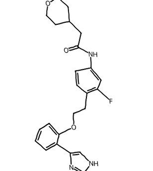 O=C(CC1CCOCC1)Nc1ccc(CCOc2ccccc2-c2c[nH]cn2)c(F)c1